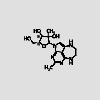 Cc1nc2c3c(cn(C4O[C@H](CO)[C@@H](O)C4(C)O)c3n1)NCCN2